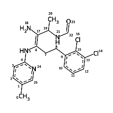 Cc1ccc(N/C(CCc2cccc(Cl)c2Cl)=C(\N)C(C)NC=O)nc1